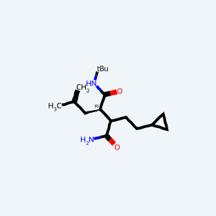 C=C(C)C[C@@H](C(=O)NC(C)(C)C)C(CCC1CC1)C(N)=O